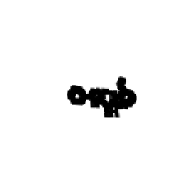 CCc1cccn2cc(C(S)c3nc(-c4ccccc4)cn3C)nc12